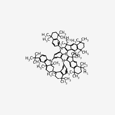 CC(C)(C)c1ccc2c(c1)C1(C)CCC3CC1(C)N2c1cc2c4c(c1)N(c1ccc5c(c1)C(C)(C)CCC5(C)C)C1=C(B4C4=C(c5cc6c(cc5C4(C)C)C(C)(C)CCC6(C)C)N2c2ccc4c(c2)C3(C)CCC4(C)C)c2cc3c(cc2C1(C)C)C(C)(C)CCC3(C)C